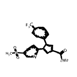 COC(=O)C1C=C(c2ccc(C(F)(F)F)cc2)C(c2ccc(S(C)(=O)=O)cn2)=C1